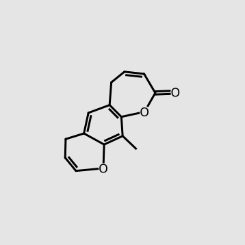 Cc1c2c(cc3c1OC(=O)C=CC3)CC=CO2